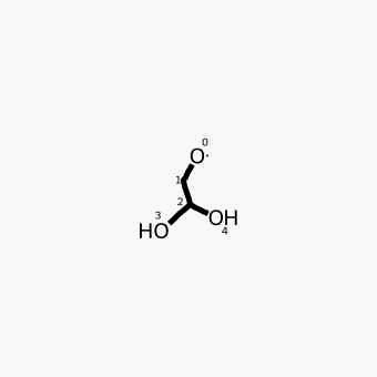 [O]CC(O)O